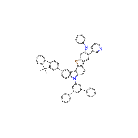 CC1(C)c2ccccc2-c2ccc(-c3ccc4c(c3)c3c5sc6cc7c(cc6c5ccc3n4-c3cc(-c4ccccc4)cc(-c4ccccc4)c3)c3cnccc3n7-c3ccccc3)cc21